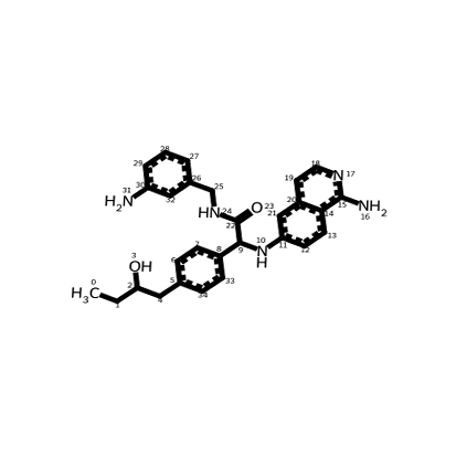 CCC(O)Cc1ccc(C(Nc2ccc3c(N)nccc3c2)C(=O)NCc2cccc(N)c2)cc1